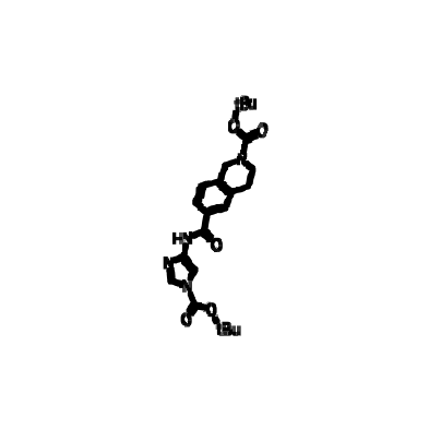 CC(C)(C)OC(=O)N1CCc2cc(C(=O)Nc3cn(C(=O)OC(C)(C)C)cn3)ccc2C1